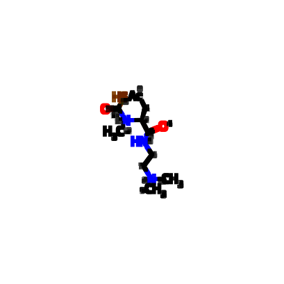 CC(=O)C[C@@H](C(=O)NCCN(C)C)N(C)C(=O)S